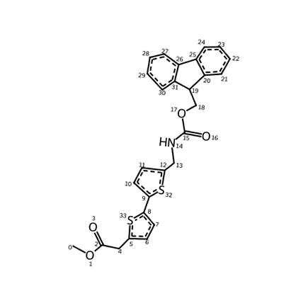 COC(=O)Cc1ccc(-c2ccc(CNC(=O)OCC3c4ccccc4-c4ccccc43)s2)s1